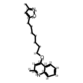 Cc1cc(CCCCCCCOc2cc(C)nc3ccccc23)on1